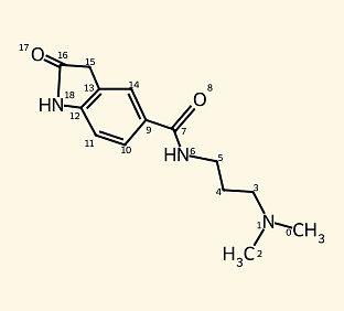 CN(C)CCCNC(=O)c1ccc2c(c1)CC(=O)N2